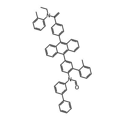 C=C(c1ccc(-c2c3ccccc3c(-c3ccc(N(C=O)c4cccc(-c5ccccc5)c4)c(-c4ccccc4C)c3)c3ccccc23)cc1)N(CC)c1ccccc1C